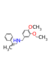 CCOc1cc(CNC[C@@H](C)c2ccccc2)ccc1OC